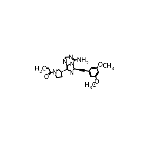 C=CC(=O)N1CC[C@H](c2nc(C#Cc3cc(OC)cc(OC)c3)n3c(N)ncnc23)C1